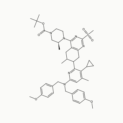 COc1ccc(CN(Cc2ccc(OC)cc2)c2cc(C)c(C3CC3)c(C3Cc4nc(S(C)(=O)=O)nc(N5CCN(C(=O)OC(C)(C)C)C[C@@H]5C)c4CC3C)n2)cc1